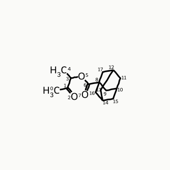 CC(=O)C(C)OC(=O)C12CC3CC(CC(C3)C1)C2